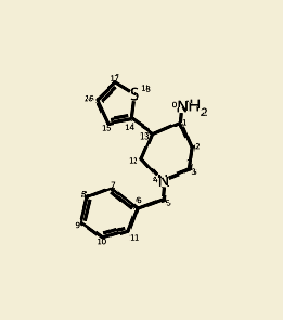 NC1CCN(Cc2ccccc2)CC1c1cccs1